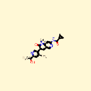 Cc1cc([C@H](C)O)ncc1-c1cc2cnc(NC(=O)C3CC3)cc2n(C)c1=O